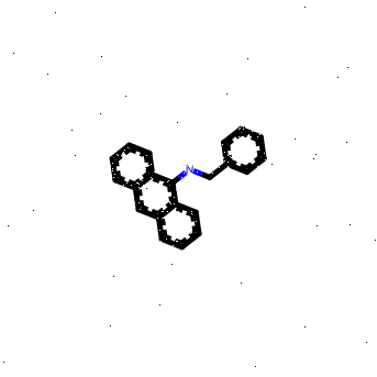 c1ccc(C[N]c2c3ccccc3cc3ccccc23)cc1